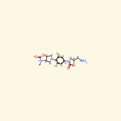 CN1C(=O)OC2CN(c3c(F)cc(N4CC(CN)OC4=O)cc3F)CC21